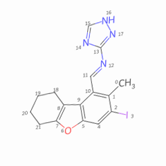 Cc1c(I)cc2oc3c(c2c1/C=N/c1nc[nH]n1)CCCC3